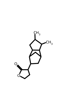 CC1CC2C3CC(CC3C3CCOC3=O)C2C1C